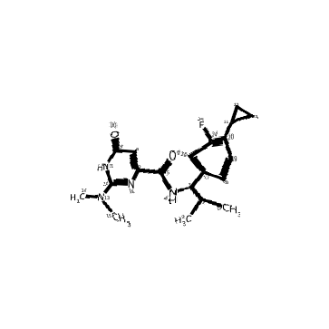 CC(C)[C@@H](NC(=O)c1cc(=O)[nH]c(N(C)C)n1)c1ccc(C2CC2)c(F)c1